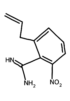 C=CCc1cccc([N+](=O)[O-])c1C(=N)N